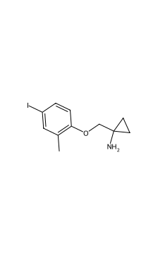 Cc1cc(I)ccc1OCC1(N)CC1